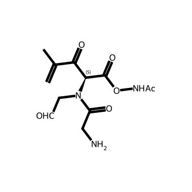 C=C(C)C(=O)[C@@H](C(=O)ONC(C)=O)N(CC=O)C(=O)CN